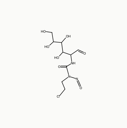 O=CC(NC(=O)N(CCCl)N=O)C(O)C(O)C(O)CO